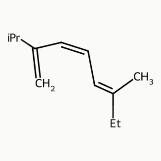 C=C(/C=C\C=C(/C)CC)C(C)C